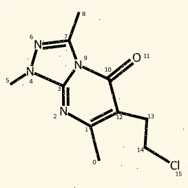 Cc1nc2n(C)nc(C)n2c(=O)c1CCCl